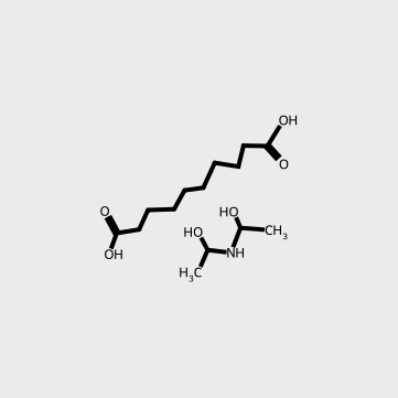 CC(O)NC(C)O.O=C(O)CCCCCCCCC(=O)O